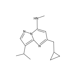 CNc1cc(CC2CC2)nc2c(C(C)C)cnn12